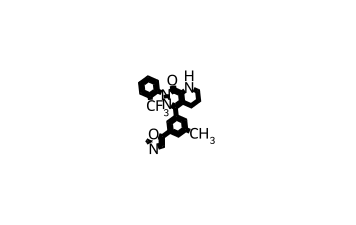 Cc1cc(-c2cnco2)cc(-c2nn(-c3ccccc3C(F)(F)F)c(=O)c3c2CCCN3)c1